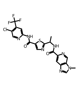 CC(NC(=O)c1cc2ncn(C)c2cn1)c1ncc(C(=O)Nc2cc(C(F)(F)F)c(Cl)cn2)s1